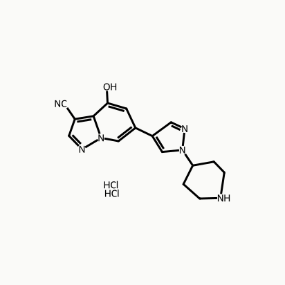 Cl.Cl.N#Cc1cnn2cc(-c3cnn(C4CCNCC4)c3)cc(O)c12